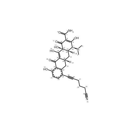 CN(C)[C@@H]1C(O)=C(C(N)=O)C(=O)[C@@]2(O)C(O)=C3C(=O)c4c(O)ccc(C#CCCCC#N)c4C[C@H]3C[C@@H]12